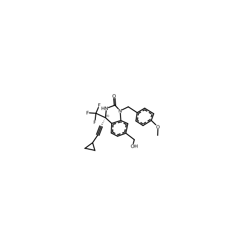 COc1ccc(CN2C(=O)N[C@](C#CC3CC3)(C(F)(F)F)c3ccc(CO)cc32)cc1